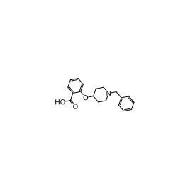 O=C(O)c1ccccc1OC1CCN(Cc2ccccc2)CC1